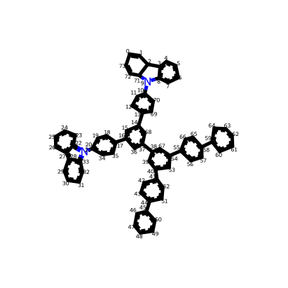 C1=CC2c3ccccc3N(c3ccc(-c4cc(-c5ccc(-n6c7ccccc7c7ccccc76)cc5)cc(-c5cc(-c6ccc(-c7ccccc7)cc6)cc(-c6ccc(-c7ccccc7)cc6)c5)c4)cc3)C2C=C1